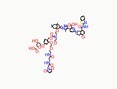 COCCN(CCOC12CC(C)(C)CC(C)(CC(C)(Cn3ncc(-c4ccc(N5CCc6c(OC)ccc(C(=O)Nc7nc8ccccc8s7)c6C5)nc4C(=O)O)c3C)C1)C2)C(=O)OCc1ccc(O[C@H]2C[C@@H](O)C[C@@H](C(=O)O)O2)cc1OCCOCCNC(=O)CCNC(=O)CN1C(=O)C=CC1=O